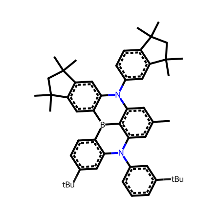 Cc1cc2c3c(c1)N(c1ccc4c(c1)C(C)(C)CC4(C)C)c1cc4c(cc1B3c1ccc(C(C)(C)C)cc1N2c1cccc(C(C)(C)C)c1)C(C)(C)CC4(C)C